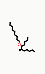 C=C(CCCCC)C(CCCC)OCCCCCCCCC